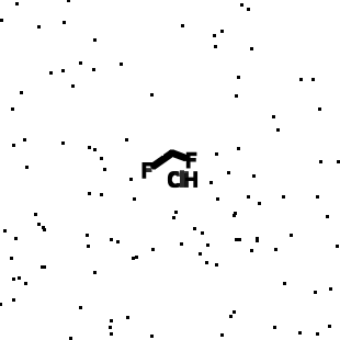 Cl.FCF